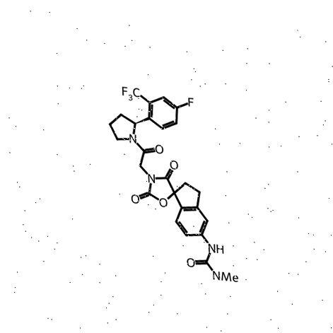 CNC(=O)Nc1ccc2c(c1)CCC21OC(=O)N(CC(=O)N2CCC[C@H]2c2ccc(F)cc2C(F)(F)F)C1=O